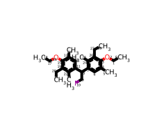 CCOc1c(C)cc(C(CI)c2cc(C)c(OCC)c(CC)c2C)c(C)c1CC